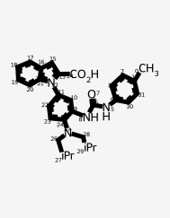 Cc1ccc(NC(=O)Nc2cc(-n3c(C(=O)O)cc4ccccc43)ccc2N(CC(C)C)CC(C)C)cc1